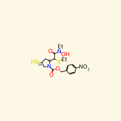 CCSC(C(=O)N(O)CC)[C@@H]1C[C@H](S)CN1C(=O)OCc1ccc([N+](=O)[O-])cc1